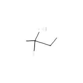 CCC(C)(O)I